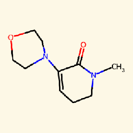 CN1CCC=C(N2CCOCC2)C1=O